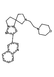 c1ccc2ncc(-c3cc4n(n3)CCC43CCN(CCN4CCOCC4)C3)cc2c1